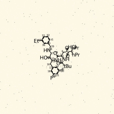 CCCC(CCC)S(=O)(=O)C[C@@H](NC(=O)C(C)(C)C)C(=O)N[C@@H](Cc1cc(F)cc(F)c1)[C@H](O)CNCc1cccc(CC)c1.Cl